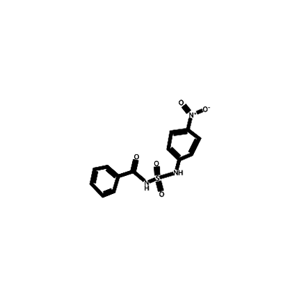 O=C(NS(=O)(=O)Nc1ccc([N+](=O)[O-])cc1)c1ccccc1